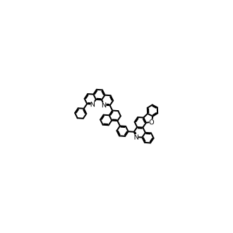 C1=CC(c2ccc3ccc4ccc(C5=c6ccccc6=C(c6cccc(-c7nc8ccccc8c8c7ccc7c9ccccc9oc78)c6)CC5)nc4c3n2)=CCC1